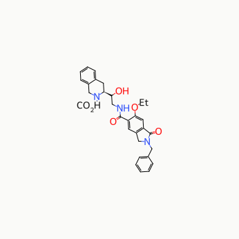 CCOc1cc2c(cc1C(=O)NCC(O)[C@@H]1Cc3ccccc3CN1C(=O)O)CN(Cc1ccccc1)C2=O